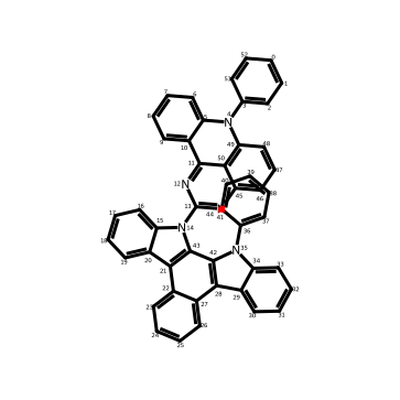 c1ccc(N2c3ccccc3-c3nc(-n4c5ccccc5c5c6ccccc6c6c7ccccc7n(-c7ccccc7)c6c54)nc4cccc2c34)cc1